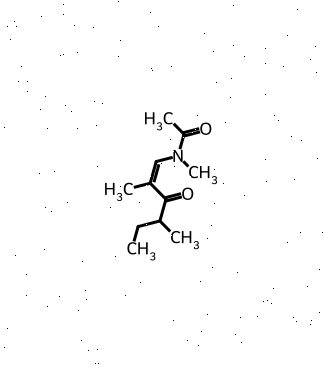 CCC(C)C(=O)/C(C)=C\N(C)C(C)=O